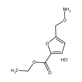 CCOC(=O)c1ccc(CON)o1.Cl